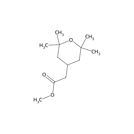 COC(=O)CC1CC(C)(C)OC(C)(C)C1